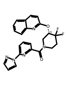 O=C(c1cccc(-n2cccn2)n1)N1CCC(F)(F)[C@@H](Oc2ccc3ccccc3n2)C1